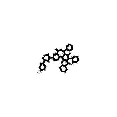 C=C1C=C(c2ccccc2)c2c(c(C)c3c(-c4ccccc4)nc4ccccc4c3c2C)-c2ccc(-c3cncc(-c4ccc(C#N)cc4)c3)cc21